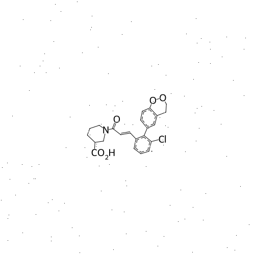 O=C(O)C1CCCN(C(=O)/C=C/c2cc[c]c(Cl)c2-c2ccc3c(c2)CCOO3)C1